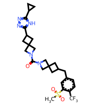 CS(=O)(=O)c1cc(CC2CC3(C2)CN(C(=O)N2CC4(CC(c5nnc(C6CC6)[nH]5)C4)C2)C3)ccc1C(F)(F)F